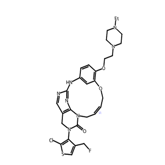 CCN1CCN(CCOc2ccc3cc2OC/C=C\CN2C(=O)N(c4c(CF)csc4Cl)Cc4cnc(nc42)N3)CC1